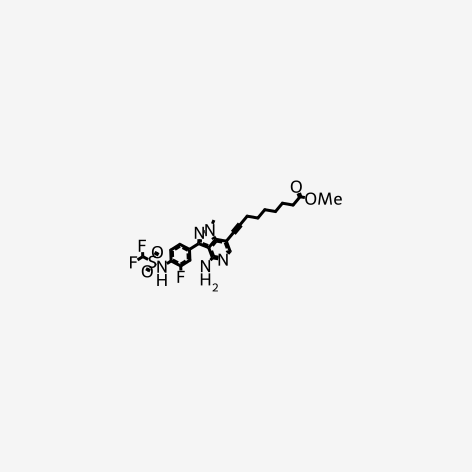 COC(=O)CCCCCCC#Cc1cnc(N)c2c(-c3ccc(NS(=O)(=O)C(F)F)c(F)c3)nn(C)c12